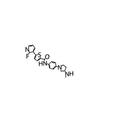 CNC1CCN(c2ccc(NC(=O)c3ccc(-c4cccnc4F)s3)cc2)C1